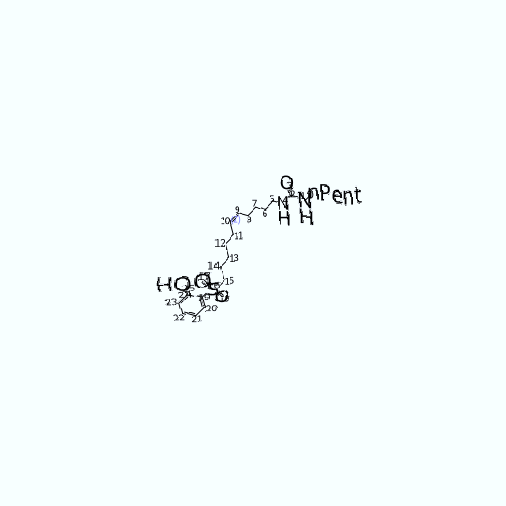 CCCCCNC(=O)NCCCC/C=C\CCCCCS(=O)(=O)c1ccccc1O